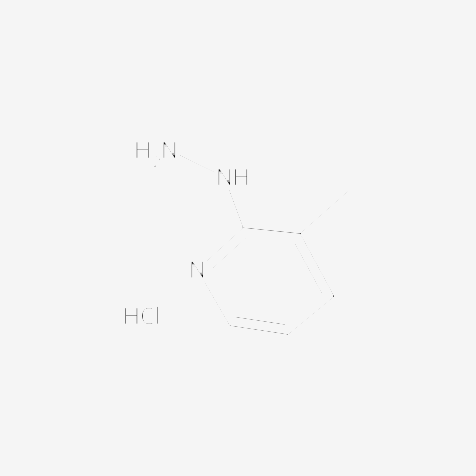 Cc1cccnc1NN.Cl